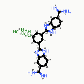 Cl.Cl.Cl.Cl.N=C(N)c1ccc2[nH]c(-c3cccc(-c4nc5cc(C(=N)N)ccc5[nH]4)c3)nc2c1